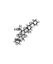 COC(C)(C)C(NC(=O)C(Nc1ccc(Oc2ccccc2)cc1)C(O)C(=O)NO)C(=O)N1CCOCC1